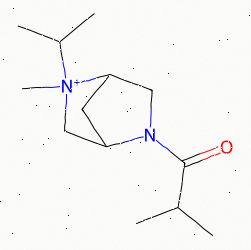 CC(C)C(=O)N1CC2CC1C[N+]2(C)C(C)C